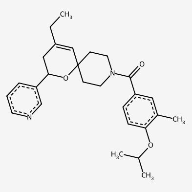 CCC1=CC2(CCN(C(=O)c3ccc(OC(C)C)c(C)c3)CC2)OC(c2cccnc2)C1